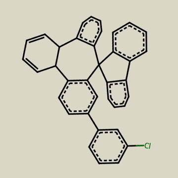 Clc1cccc(-c2ccc3c(c2)C2(c4ccccc4-c4ccccc42)c2ccccc2C2C=CC=CC32)c1